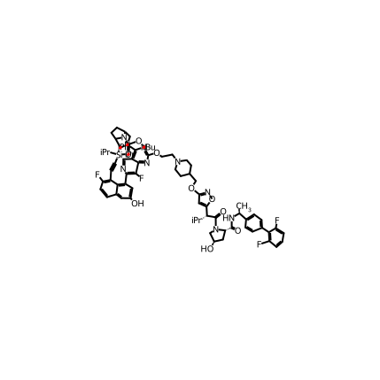 CC(C)[C@@H](C(=O)N1C[C@H](O)C[C@H]1C(=O)N[C@@H](C)c1ccc(-c2c(F)cccc2F)cc1)c1cc(OCC2CCN(CCOc3nc(N4CC5CCC(C4)N5C(=O)OC(C)(C)C)c4cnc(-c5cc(O)cc6ccc(F)c(C#C[Si](C(C)C)(C(C)C)C(C)C)c56)c(F)c4n3)CC2)no1